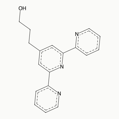 OCCCc1cc(-c2ccccn2)nc(-c2ccccn2)c1